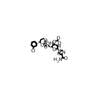 NC(=O)c1ncn([C@@H]2O[C@H](CO[P@@]3(=O)OCC[C@@H](c4cccc(Cl)c4)O3)[C@H]3OC(=O)O[C@H]32)n1